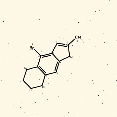 CC1=Cc2c(cc3c(c2Br)CCCC3)C1